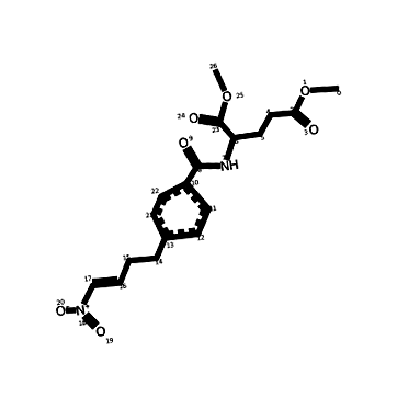 COC(=O)CCC(NC(=O)c1ccc(CCC=C[N+](=O)[O-])cc1)C(=O)OC